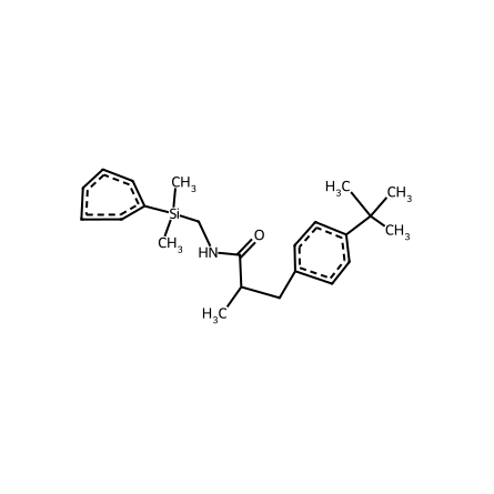 CC(Cc1ccc(C(C)(C)C)cc1)C(=O)NC[Si](C)(C)c1ccccc1